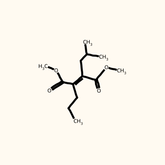 CCCC(C(=O)OC)=C(CC(C)C)C(=O)OC